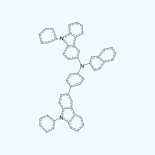 c1ccc(-n2c3ccccc3c3cc(-c4ccc(N(c5ccc6ccccc6c5)c5ccc6c(c5)c5ccccc5n6-c5ccccc5)cc4)ccc32)cc1